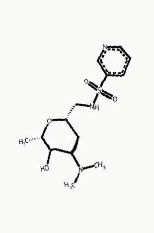 C[C@@H]1O[C@H](CNS(=O)(=O)c2cccnc2)CC(N(C)C)C1O